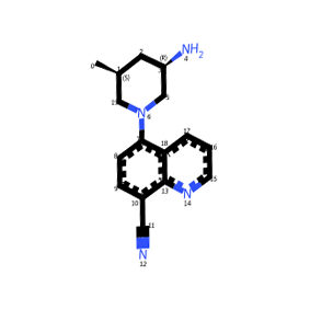 C[C@H]1C[C@@H](N)CN(c2ccc(C#N)c3ncccc23)C1